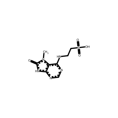 Cn1c(=O)[nH]c2ncnc(NCCS(=O)(=O)O)c21